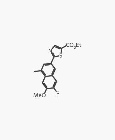 CCOC(=O)c1cnc(-c2cc(C)c3cc(OC)c(F)cc3c2)s1